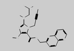 CC#CCn1c(N(C)C[C@H](C)N)nc(NC)c1C(=O)NCc1ccc2ncccc2n1